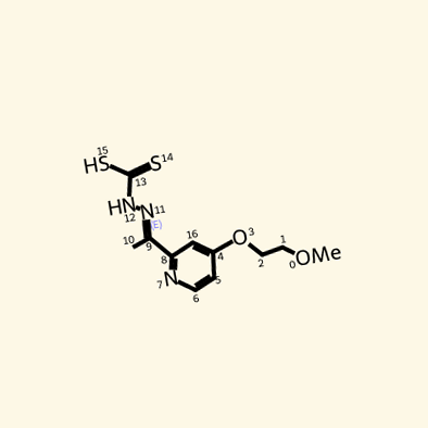 COCCOc1ccnc(/C(C)=N/NC(=S)S)c1